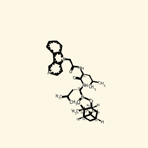 CC(C)C[C@H](NC(=O)[C@H](CC(C)C)NC(=O)Cn1c2ccccc2c2cnccc21)B1O[C@@H]2C[C@@H]3C[C@@H](C3(C)C)[C@]2(C)O1